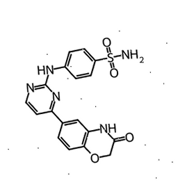 NS(=O)(=O)c1ccc(Nc2nccc(-c3ccc4c(c3)NC(=O)CO4)n2)cc1